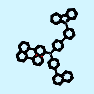 c1ccc(-c2cccc3cccc(-c4ccc(N(c5ccc(-c6cccc(-n7c8ccccc8c8ccccc87)c6)cc5)c5ccc(-c6cccc7ccccc67)cc5)cc4)c23)cc1